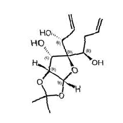 C=CC[C@@H](O)[C@]1([C@H](O)C=C)O[C@@H]2OC(C)(C)O[C@@H]2[C@@H]1O